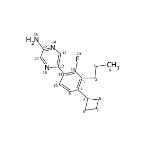 CCCc1c(C2CCC2)ccc(-c2cnc(N)cn2)c1F